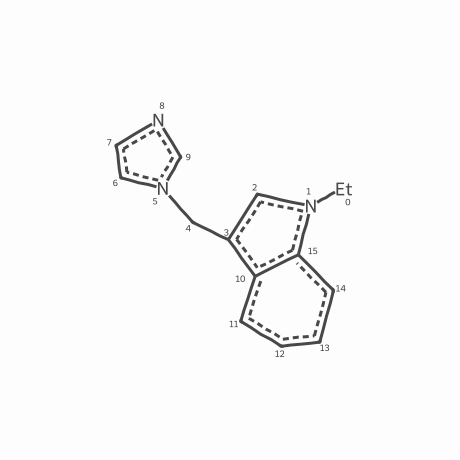 CCn1cc(Cn2ccnc2)c2ccccc21